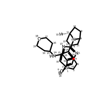 [O-][S+]1CCc2nc(N3C4CC[C@@H]3CN(c3ccc(Br)cc3)C4)nc(NC3CCOCC3)c21